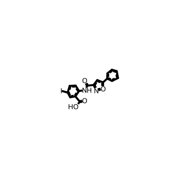 O=C(Nc1ccc(I)cc1C(=O)O)c1cc(-c2ccccc2)on1